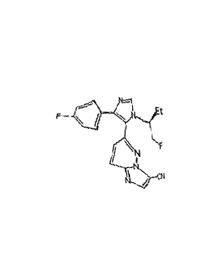 CC[C@@H](CF)n1cnc(-c2ccc(F)cc2)c1-c1ccc2ncc(C#N)n2n1